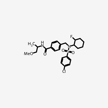 COCC(C)NC(=O)c1ccc(CN(C2CCCCC2F)S(=O)(=O)c2ccc(Cl)cc2)cc1